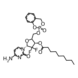 CCCCCCCCC(=O)O[C@@H]1C(COP2(=O)OCc3ccccc3O2)O[C@@H](n2ccc(N)nc2=O)C1(F)F